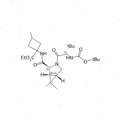 CCOC(=O)C1(NC(=O)[C@@H]2[C@@H]3[C@H](CN2C(=O)[C@@H](NC(=O)OC(C)(C)C)C(C)(C)C)C3(C)C)CC(C)C1